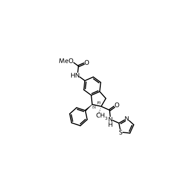 COC(=O)Nc1ccc2c(c1)[C@H](c1ccccc1)[C@](C)(C(=O)Nc1nccs1)C2